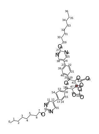 CCCCCCCCOc1ncc(-c2ccc([C@H](O[C@@H](c3ccc(-c4cnc(OCCCCCCCC)nc4)cc3)C3COC(=O)O3)C3COC(=O)O3)cc2)cn1